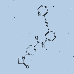 O=C(Nc1cccc(C#Cc2ccccn2)c1)c1ccc(N2CCC2=O)cc1